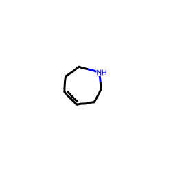 [CH]1CC=CCCN1